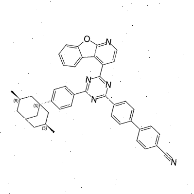 C[C@@H]1CC2C[C@H](C)C[C@@](c3ccc(-c4nc(-c5ccc(-c6ccc(C#N)cc6)cc5)nc(-c5ccnc6oc7ccccc7c56)n4)cc3)(C2)C1